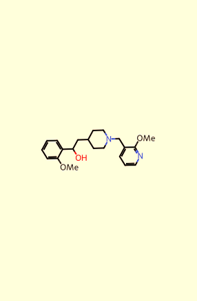 COc1ccccc1C(O)CC1CCN(Cc2cccnc2OC)CC1